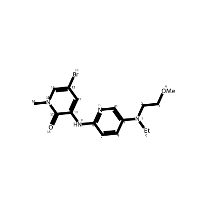 CCN(CCOC)c1ccc(Nc2cc(Br)cn(C)c2=O)nc1